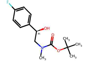 CN(C[C@H](O)c1ccc(F)cc1)C(=O)OC(C)(C)C